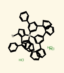 Cl.Cl.Cl.[Ti][C]1=C(Cc2ccccc2)C([Si](c2cc(-c3ccccc3)cc(-c3ccccc3)c2)(c2cc(-c3ccccc3)cc(-c3ccccc3)c2)c2cc(-c3ccccc3)cc(-c3ccccc3)c2)=CC1